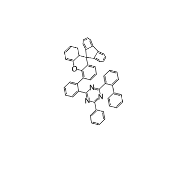 C1=CCC2C(=C1)Oc1c(-c3ccccc3-c3nc(-c4ccccc4)nc(-c4ccccc4-c4ccccc4)n3)cccc1C21c2ccccc2-c2ccccc21